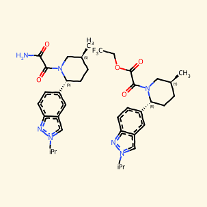 CC(C)n1cc2cc([C@H]3CC[C@H](C)CN3C(=O)C(=O)OCC(F)(F)F)ccc2n1.CC(C)n1cc2cc([C@H]3CC[C@H](C)CN3C(=O)C(N)=O)ccc2n1